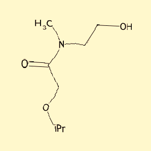 CC(C)OCC(=O)N(C)CCO